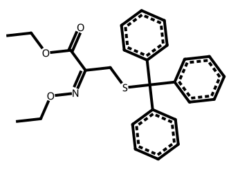 CCON=C(CSC(c1ccccc1)(c1ccccc1)c1ccccc1)C(=O)OCC